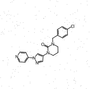 O=C1N(Cc2ccc(Cl)cc2)CCCN1c1cnn(-c2ccncc2)c1